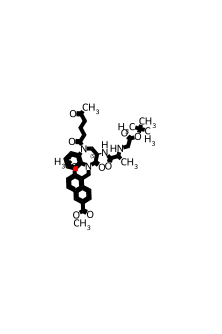 COC(=O)c1ccc2c(CN3C(=O)[C@@H](NC(=O)C(C)NCC(=O)OC(C)(C)C)CN(C(=O)CCCC(C)=O)c4ccccc43)c(OC)ccc2c1